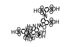 Nc1c(N=Nc2ccc(N=Nc3cc(S(=O)(=O)O)ccc3S(=O)(=O)O)c3cc(S(=O)(=O)O)cc(O)c23)cc(S(=O)(=O)O)c2cc(S(=O)(=O)O)c(N=Nc3ccc(S(=O)(=O)O)cc3[N+](=O)[O-])c(O)c12